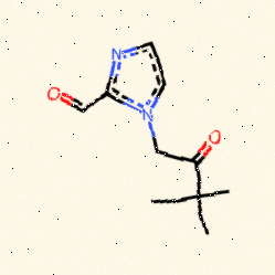 CC(C)(C)C(=O)Cn1ccnc1C=O